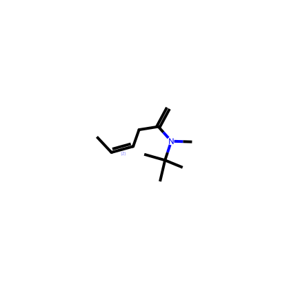 C=C(C/C=C\C)N(C)C(C)(C)C